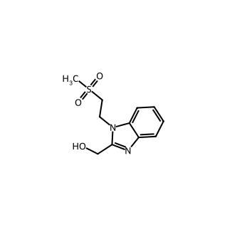 CS(=O)(=O)CCn1c(CO)nc2ccccc21